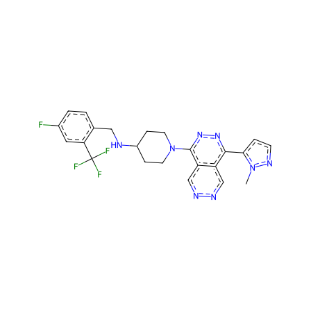 Cn1nccc1-c1nnc(N2CCC(NCc3ccc(F)cc3C(F)(F)F)CC2)c2cnncc12